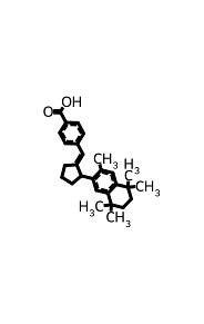 Cc1cc2c(cc1C1CCCC1=Cc1ccc(C(=O)O)cc1)C(C)(C)CCC2(C)C